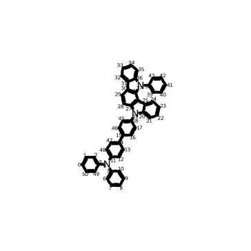 c1ccc(N(c2ccccc2)c2ccc(-c3ccc(-n4c5ccccc5c5c4ccc4c6ccccc6n(-c6ccccc6)c45)cc3)cc2)cc1